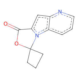 O=C1OC2(CCC2)n2c1cc1ncccc12